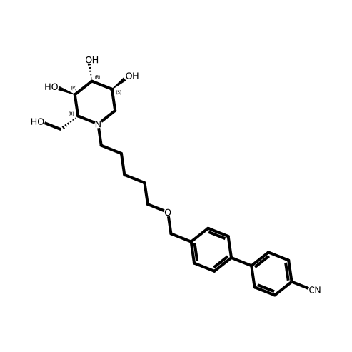 N#Cc1ccc(-c2ccc(COCCCCCN3C[C@H](O)[C@@H](O)[C@H](O)[C@H]3CO)cc2)cc1